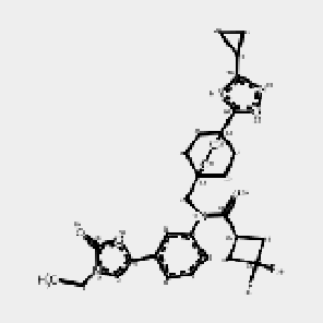 CCn1cc(-c2cccc(N(CC34CCC(c5nc(C6CC6)no5)(CC3)CC4)C(=O)C3CC(F)(F)C3)c2)oc1=O